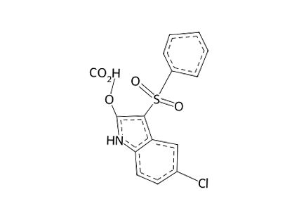 O=C(O)Oc1[nH]c2ccc(Cl)cc2c1S(=O)(=O)c1ccccc1